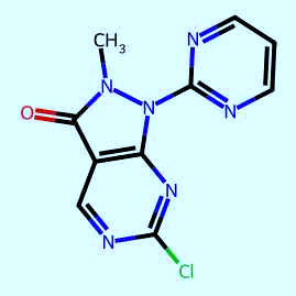 Cn1c(=O)c2cnc(Cl)nc2n1-c1ncccn1